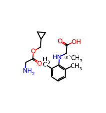 Cc1cccc(C)c1N[C@@H](C)C(=O)O.NCC(=O)OCC1CC1